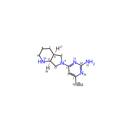 CCCCc1cc(N2C[C@@H]3CCCN[C@@H]3C2)nc(N)n1